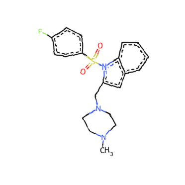 CN1CCN(Cc2cc3ccccc3n2S(=O)(=O)c2ccc(F)cc2)CC1